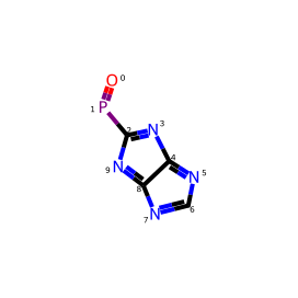 O=PC1=NC2=NC=NC2=N1